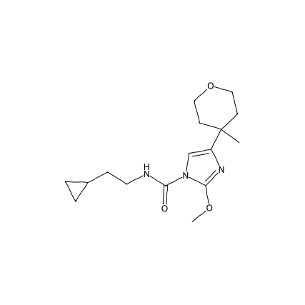 COc1nc(C2(C)CCOCC2)cn1C(=O)NCCC1CC1